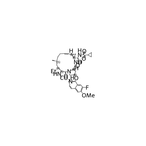 CC[C@@H]1C[C@@H](C)CCC=C[C@@H]2C[C@@]2(C(=O)NS(=O)(=O)C2CC2)NC(=O)[C@@H]2C[C@@H](Oc3nccc4cc(OC)c(F)cc34)CN2C(=O)[C@H]1NC(=O)O